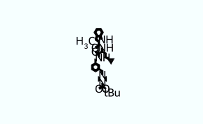 Cc1c(C(=O)NC(CCC2CC2)C(=O)NCc2cccc(CN3CCN(C(=O)OC(C)(C)C)CC3)c2)[nH]c2ccccc12